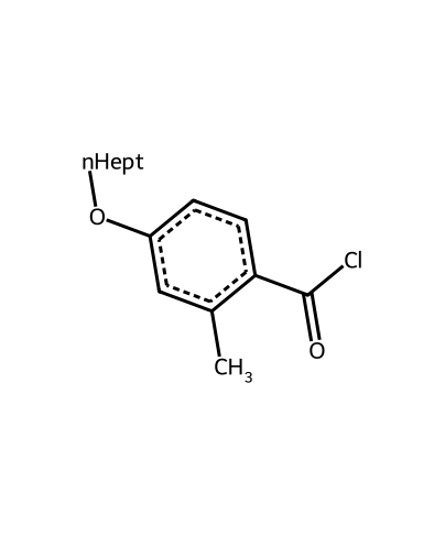 CCCCCCCOc1ccc(C(=O)Cl)c(C)c1